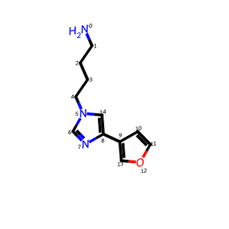 NCCCCn1cnc(-c2ccoc2)c1